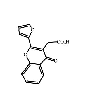 O=C(O)Cc1c(-c2ccco2)oc2ccccc2c1=O